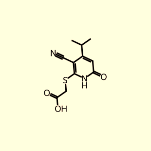 CC(C)c1cc(=O)[nH]c(SCC(=O)O)c1C#N